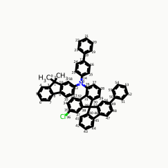 CC1(C)c2ccccc2-c2ccc(N(c3ccc(-c4ccccc4)cc3)c3cccc4c3-c3ccc(Cl)cc3C43c4ccccc4-c4ccc(-c5ccccc5)cc43)cc21